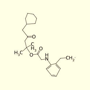 [CH2]Cc1ccccc1NCC(=O)OC(C)(C)CC(=O)CC1CCCCC1